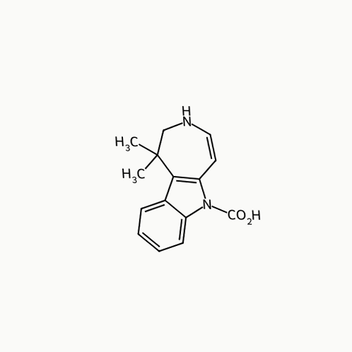 CC1(C)CNC=Cc2c1c1ccccc1n2C(=O)O